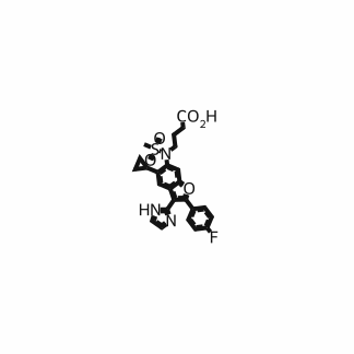 CS(=O)(=O)N(CCCC(=O)O)c1cc2oc(-c3ccc(F)cc3)c(-c3ncc[nH]3)c2cc1C1CC1